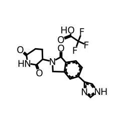 O=C(O)C(F)(F)F.O=C1CCC(N2Cc3cc(-c4c[nH]cn4)ccc3C2=O)C(=O)N1